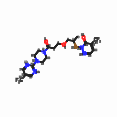 CC(COCCC(=O)N1CCN(c2ncc(C(F)(F)F)cn2)CC1)Sn1nccc(C(F)(F)F)c1=O